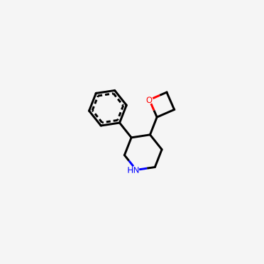 c1ccc(C2CNCCC2C2CCO2)cc1